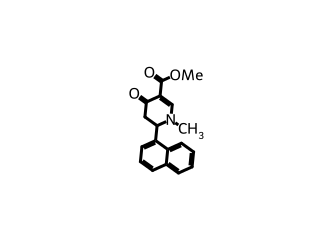 COC(=O)C1=CN(C)C(c2cccc3ccccc23)CC1=O